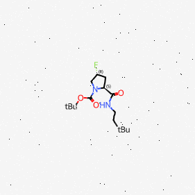 CC(C)(C)CCNC(=O)[C@@H]1C[C@@H](F)CN1C(=O)OC(C)(C)C